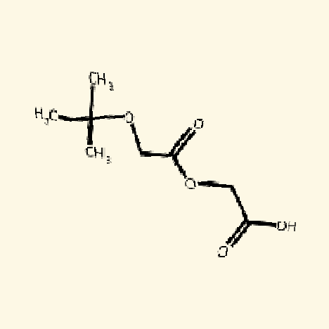 CC(C)(C)OCC(=O)OCC(=O)O